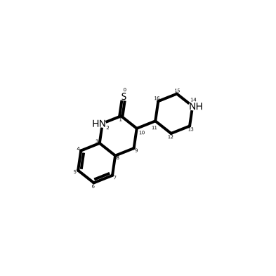 S=C1NC2C=CC=CC2CC1C1CCNCC1